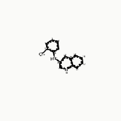 Clc1ccccc1Nc1cnc2ccccc2c1